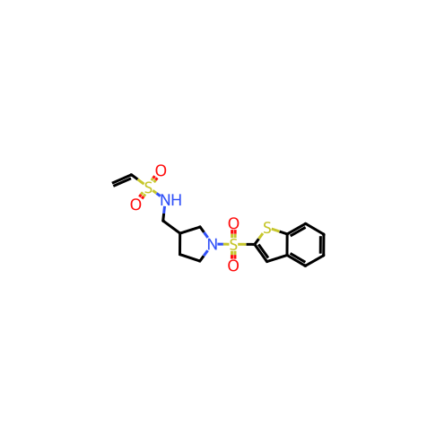 C=CS(=O)(=O)NCC1CCN(S(=O)(=O)c2cc3ccccc3s2)C1